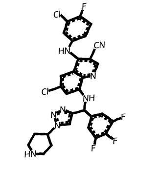 N#Cc1cnc2c(NC(c3cc(F)c(F)c(F)c3)c3cn(C4CCNCC4)nn3)cc(Cl)cc2c1Nc1ccc(F)c(Cl)c1